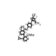 COc1ncnc(C2CC2)c1-c1cc2c(cn1)OCCN2Cc1ccc(-c2nc(C(F)(F)F)cn2C)cc1